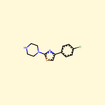 Clc1ccc(-c2csc(N3CCNCC3)n2)cc1